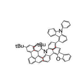 CC(C)(C)c1cc(-c2cccc3cccc(-c4ccccc4N(c4ccc(-c5cccc6c5c5ccccc5n6-c5ccccc5)cc4)c4ccccc4-c4cccc5c4oc4ccccc45)c23)cc(C(C)(C)C)c1